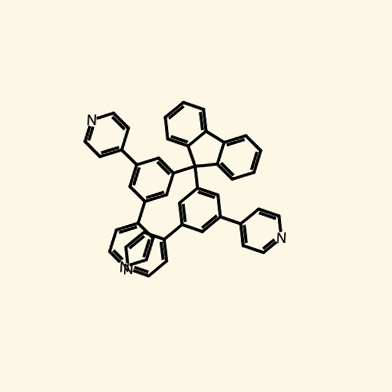 c1ccc2c(c1)-c1ccccc1C2(c1cc(-c2ccncc2)cc(-c2ccncc2)c1)c1cc(-c2ccncc2)cc(-c2ccncc2)c1